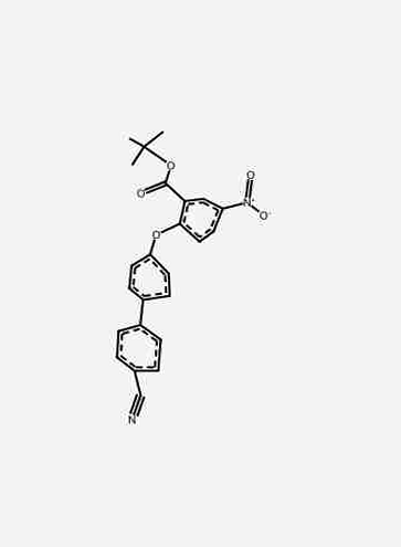 CC(C)(C)OC(=O)c1cc([N+](=O)[O-])ccc1Oc1ccc(-c2ccc(C#N)cc2)cc1